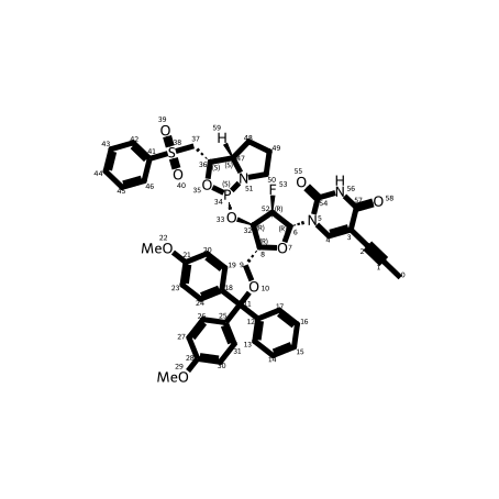 CC#Cc1cn([C@@H]2O[C@H](COC(c3ccccc3)(c3ccc(OC)cc3)c3ccc(OC)cc3)[C@@H](O[P@]3O[C@H](CS(=O)(=O)c4ccccc4)[C@@H]4CCCN43)[C@H]2F)c(=O)[nH]c1=O